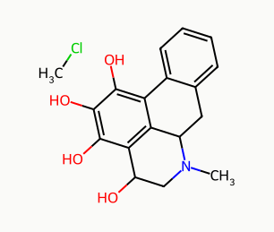 CCl.CN1CC(O)c2c(O)c(O)c(O)c3c2C1Cc1ccccc1-3